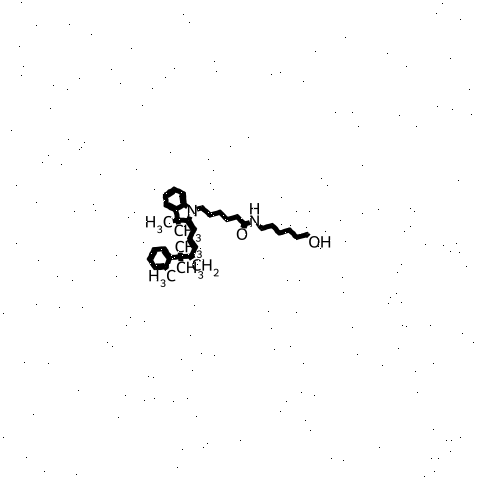 C=C(/C=C/C=C1/N(CCCCCC(=O)NCCCCCCO)c2ccccc2C1(C)C)C(C)(C)c1ccccc1C